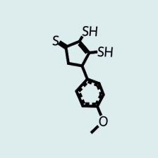 COc1ccc(C2CC(=S)C(S)=C2S)cc1